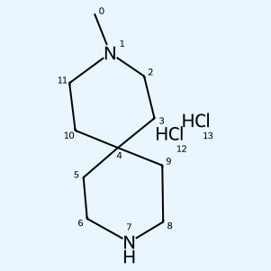 CN1CCC2(CCNCC2)CC1.Cl.Cl